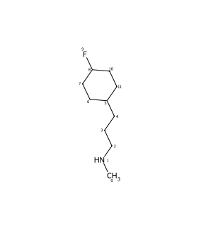 CNCCCC1CCC(F)CC1